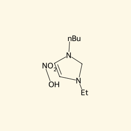 CCCCN1C=CN(CC)C1.O=[N+]([O-])O